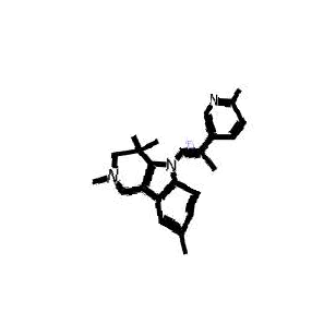 C/C(=C\n1c2c(c3cc(C)ccc31)CN(C)CC2(C)C)c1ccc(C)nc1